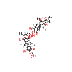 CC(C)(CC(O)COc1c(Br)cc(C(C)(C)c2cc(Br)c(C(C)(C)OCC3CO3)c(Br)c2)cc1Br)Oc1c(Br)cc(C(C)(C)c2cc(Br)c(OCC3CO3)c(Br)c2)cc1Br